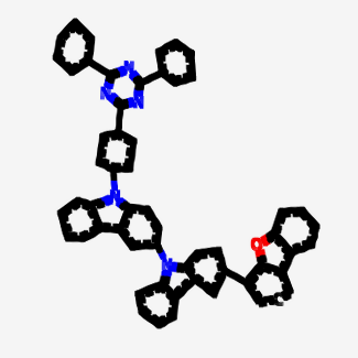 c1ccc(-c2nc(-c3ccccc3)nc(-c3ccc(-n4c5ccccc5c5cc(-n6c7ccccc7c7cc(-c8cccc9c8oc8ccccc89)ccc76)ccc54)cc3)n2)cc1